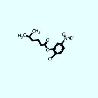 CC(C)CCCC(=O)Oc1cc([N+](=O)[O-])ccc1Cl